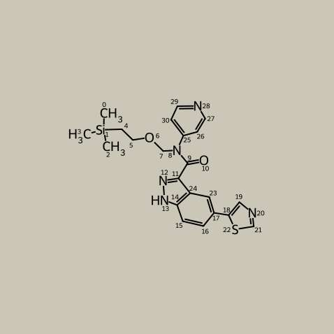 C[Si](C)(C)CCOCN(C(=O)c1n[nH]c2ccc(-c3cncs3)cc12)c1ccncc1